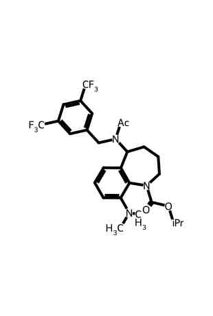 CC(=O)N(Cc1cc(C(F)(F)F)cc(C(F)(F)F)c1)C1CCCN(C(=O)OC(C)C)c2c1cccc2N(C)C